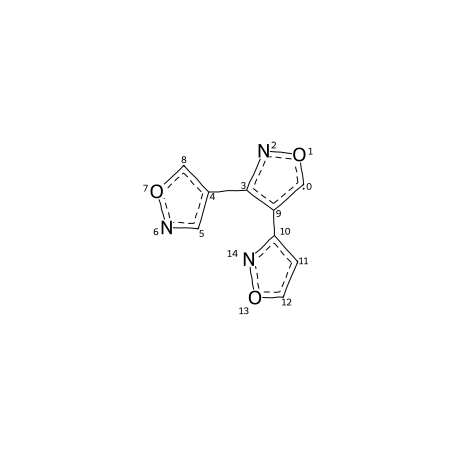 [c]1onc(-c2cnoc2)c1-c1ccon1